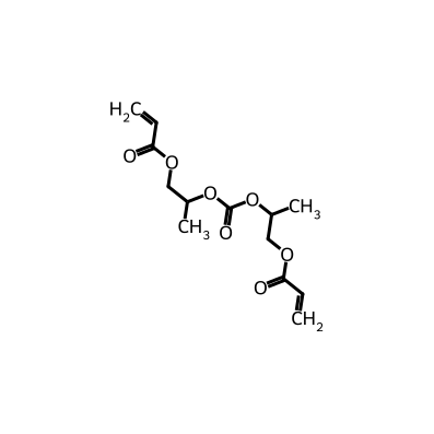 C=CC(=O)OCC(C)OC(=O)OC(C)COC(=O)C=C